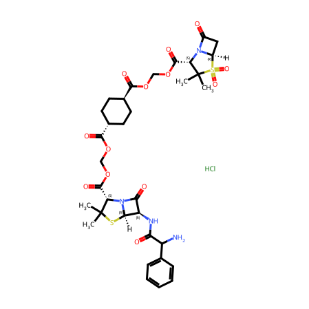 CC1(C)S[C@@H]2[C@H](NC(=O)C(N)c3ccccc3)C(=O)N2[C@H]1C(=O)OCOC(=O)[C@H]1CC[C@H](C(=O)OCOC(=O)[C@@H]2N3C(=O)C[C@H]3S(=O)(=O)C2(C)C)CC1.Cl